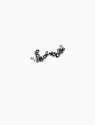 NC(=O)c1c(-c2ccc(Oc3ccccc3)cc2)nn2c1NCC[C@H]2C1CCN(C(=O)CCN2CC3(CCN(c4cccc(N5CCC(=O)NC5=O)c4)CC3)C2)CC1